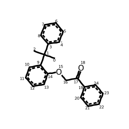 CC(C)(c1[c]cccc1)c1ccccc1OCC(=O)c1ccccc1